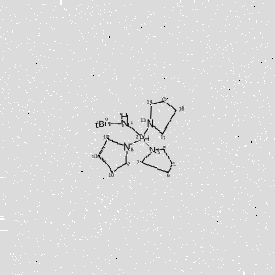 CC(C)(C)N[PH](N1CCCC1)(N1CCCC1)N1CCCC1